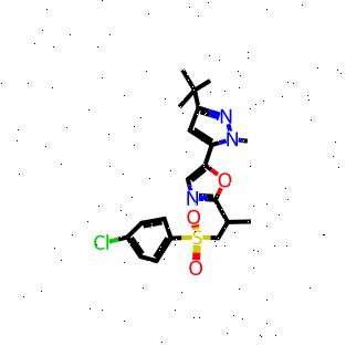 CC(CS(=O)(=O)c1ccc(Cl)cc1)c1ncc(-c2cc(C(C)(C)C)nn2C)o1